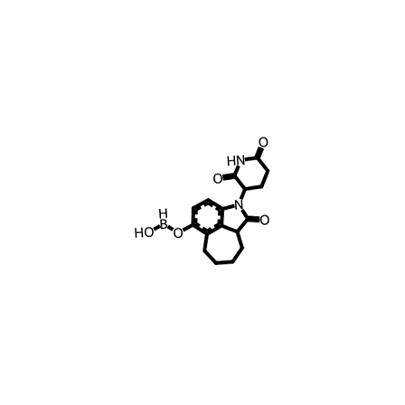 O=C1CCC(N2C(=O)C3CCCCc4c(OBO)ccc2c43)C(=O)N1